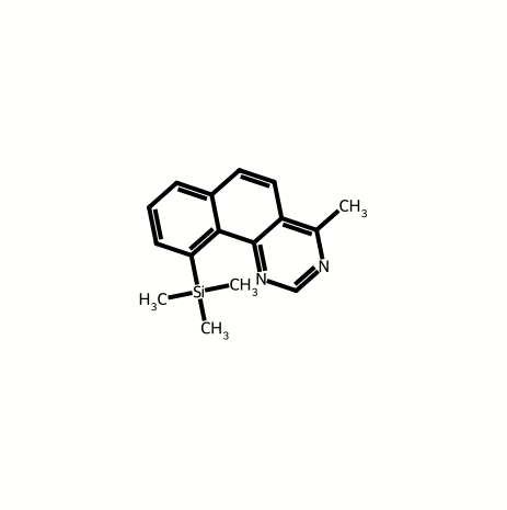 Cc1ncnc2c1ccc1cccc([Si](C)(C)C)c12